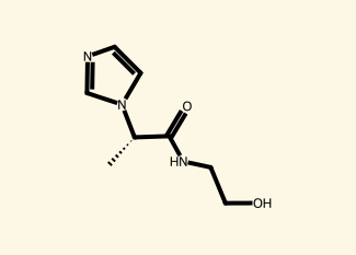 C[C@@H](C(=O)NCCO)n1ccnc1